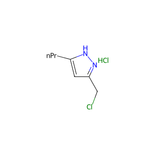 CCCc1cc(CCl)n[nH]1.Cl